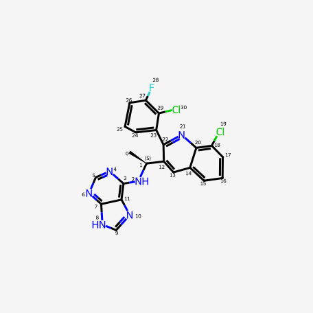 C[C@H](Nc1ncnc2[nH]cnc12)c1cc2cccc(Cl)c2nc1-c1cccc(F)c1Cl